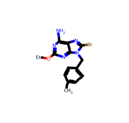 CCOc1nc(N)c2nc(Br)n(Cc3ccc(C)cc3)c2n1